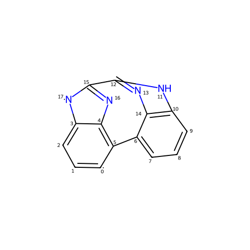 [c]1ccc2c3c1-c1cccc4[nH]c(nc14)C(=N3)[N]2